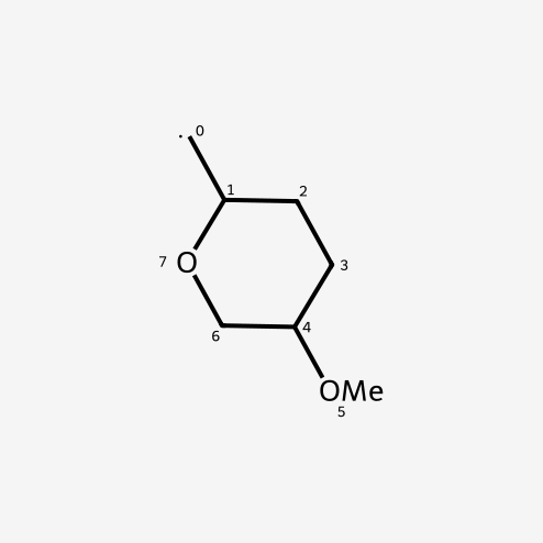 [CH2]C1CCC(OC)CO1